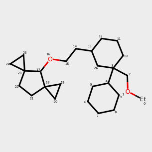 CCOCC1(C2CCCCC2)CCCC(CCOC2C3(CC3)CCC23CC3)C1